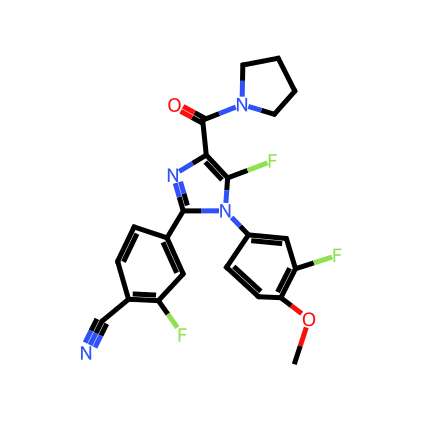 COc1ccc(-n2c(-c3ccc(C#N)c(F)c3)nc(C(=O)N3CCCC3)c2F)cc1F